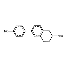 CCCCC1CCc2cc(-c3ccc(C#N)cc3)ccc2C1